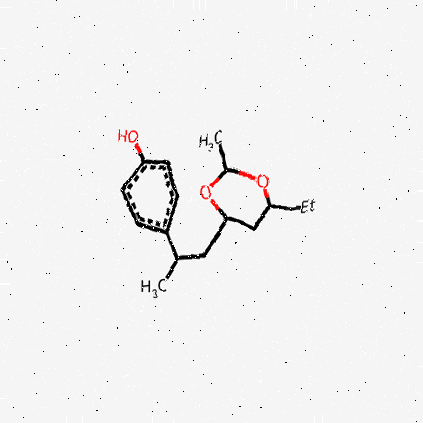 CCC1CC(CC(C)c2ccc(O)cc2)OC(C)O1